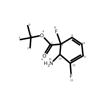 CC(C)(C)OC(=O)C1(F)C=CC=C(F)C1N